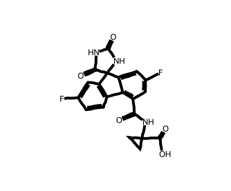 O=C1NC(=O)C2(N1)c1cc(F)ccc1-c1c(C(=O)NC3(C(=O)O)CC3)cc(F)cc12